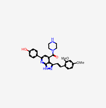 COc1ccc(C=Cc2n[nH]c3nc(-c4ccc(O)cc4)cc(C(=O)N4CCNCC4)c23)c(OC)c1